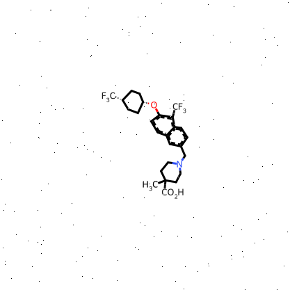 CC1(C(=O)O)CCN(Cc2ccc3c(C(F)(F)F)c(O[C@H]4CC[C@@H](C(F)(F)F)CC4)ccc3c2)CC1